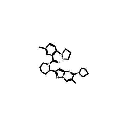 Cc1ccc(N2CCCS2)c(C(=O)N2CCCCC2c2cc3nc(N4CCCC4)c(C)cn3n2)c1